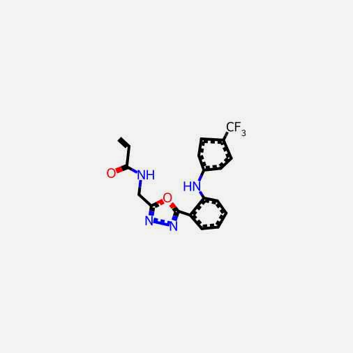 C=CC(=O)NCc1nnc(-c2ccccc2Nc2ccc(C(F)(F)F)cc2)o1